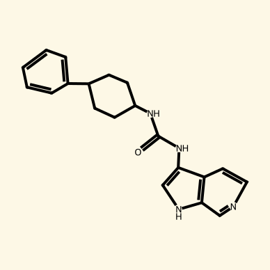 O=C(Nc1c[nH]c2cnccc12)NC1CCC(c2ccccc2)CC1